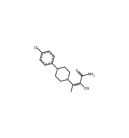 CC(=C(C#N)C(N)=S)N1CCN(c2ccc(Cl)cc2)CC1